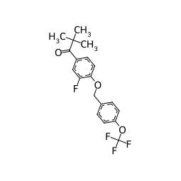 CC(C)(C)C(=O)c1ccc(OCc2ccc(OC(F)(F)F)cc2)c(F)c1